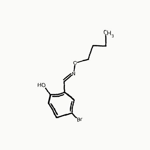 CCCCON=Cc1cc(Br)ccc1O